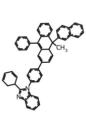 CC1(c2ccc3ccccc3c2)c2ccccc2C(c2ccccc2)=C2C=C(c3ccc(-n4c(C5C=CC=CC5)nc5ccccc54)cc3)C=CC21